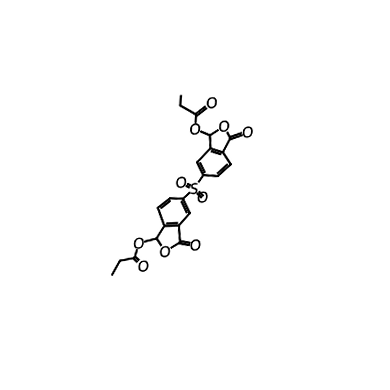 CCC(=O)OC1OC(=O)c2cc(S(=O)(=O)c3ccc4c(c3)C(OC(=O)CC)OC4=O)ccc21